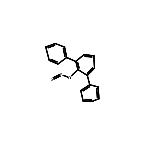 S=POc1c(-c2ccccc2)cccc1-c1ccccc1